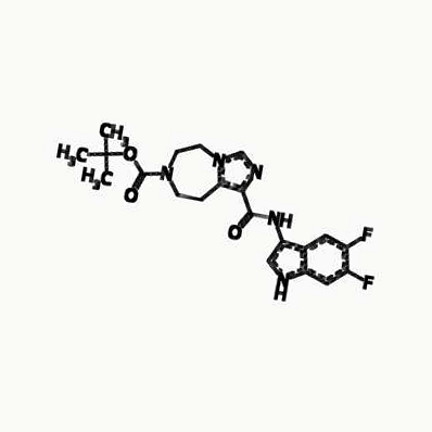 CC(C)(C)OC(=O)N1CCc2c(C(=O)Nc3c[nH]c4cc(F)c(F)cc34)ncn2CC1